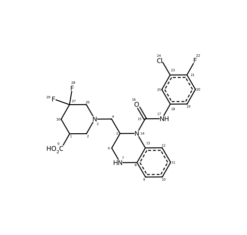 O=C(O)C1CN(CC2CNc3ccccc3N2C(=O)Nc2ccc(F)c(Cl)c2)CC(F)(F)C1